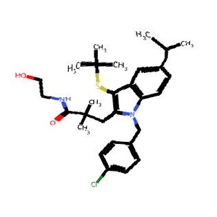 CC(C)c1ccc2c(c1)c(SC(C)(C)C)c(CC(C)(C)C(=O)NCCO)n2Cc1ccc(Cl)cc1